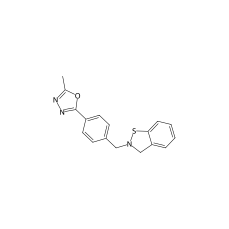 Cc1nnc(-c2ccc(CN3Cc4ccccc4S3)cc2)o1